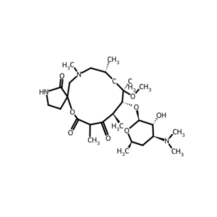 CO[C@]1(C)C[C@@H](C)CN(C)CC2(CCNC2=O)OC(=O)C(C)C(=O)[C@H](C)[C@H]1O[C@@H]1O[C@H](C)C[C@H](N(C)C)[C@H]1O